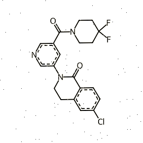 O=C(c1cncc(N2CCc3cc(Cl)ccc3C2=O)c1)N1CCC(F)(F)CC1